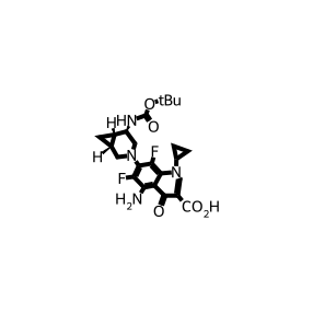 CC(C)(C)OC(=O)N[C@H]1CN(c2c(F)c(N)c3c(=O)c(C(=O)O)cn(C4CC4)c3c2F)C[C@@H]2C[C@@H]21